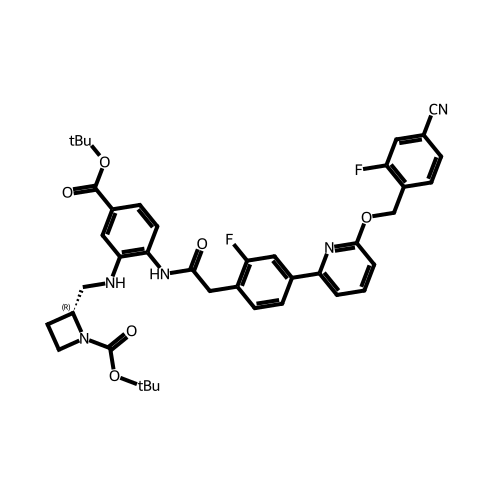 CC(C)(C)OC(=O)c1ccc(NC(=O)Cc2ccc(-c3cccc(OCc4ccc(C#N)cc4F)n3)cc2F)c(NC[C@H]2CCN2C(=O)OC(C)(C)C)c1